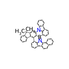 CC1(C)c2ccccc2-c2c1cc1c3c2-c2cccc4c5ccc6ccccc6c5n(c24)B3c2cccc3c4ccccc4n-1c23